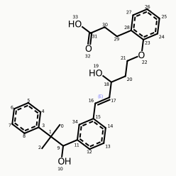 CC(C)(c1ccccc1)C(O)c1cccc(/C=C/C(O)CCOc2ccccc2CCC(=O)O)c1